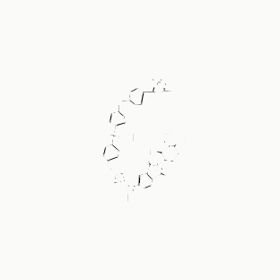 Cc1nnc(-c2ccc(Oc3ccc(C(C)(C)c4ccc(O[C@H]5C[C@H](Nc6ccc7c(c6)C(=O)N(C6CCC(=O)NC6=O)C7=O)C5)cc4)cc3)cc2)o1